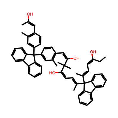 CC/C(O)=C\C=C(/C)C1(/C(C)=C/C=C(/O)C(C)(C)/C(O)=C\c2ccc(C3(c4ccc(/C=C(\C)O)c(C)c4)c4ccccc4-c4ccccc43)cc2C)c2ccccc2-c2ccccc21